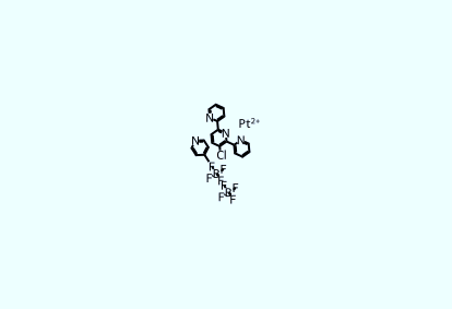 Cc1ccncc1.Clc1ccc(-c2ccccn2)nc1-c1ccccn1.F[B-](F)(F)F.F[B-](F)(F)F.[Pt+2]